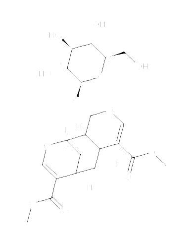 COC(=O)C1=CO[C@@H]2C[C@H]1C[C@@H]1C(C(=O)OC)=CO[C@@H](O[C@@H]3O[C@H](CO)[C@@H](O)[C@H](O)[C@H]3O)[C@@H]12